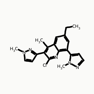 CCc1cc(-c2ccnn2C)c2nc(Cl)c(-c3ccn(C)n3)c(C)c2c1